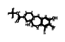 CC(C)(C)OC(=O)N1CCN2Cc3cc(O)c(Br)c(F)c3OC[C@H]2C1